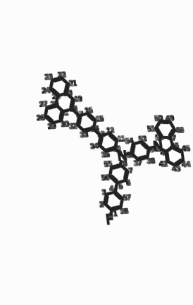 Fc1ccc(-c2ccc(N(c3ccc(-c4ccc(-c5cc6ccccc6c6ccccc56)cc4)cc3)c3ccc(-n4c5ccccc5c5ccccc54)cc3)cc2)cc1